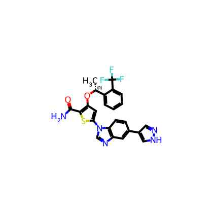 C[C@@H](Oc1cc(-n2cnc3cc(-c4cn[nH]c4)ccc32)sc1C(N)=O)c1ccccc1C(F)(F)F